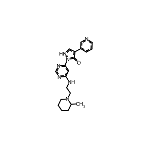 CC1CCCCN1CCNc1cc(-n2[nH]cc(-c3cccnc3)c2=O)ncn1